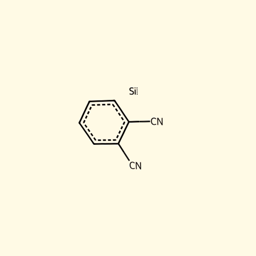 N#Cc1ccccc1C#N.[Si]